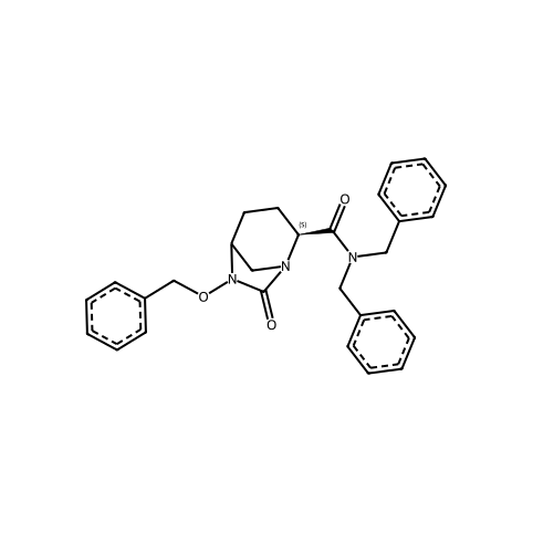 O=C([C@@H]1CCC2CN1C(=O)N2OCc1ccccc1)N(Cc1ccccc1)Cc1ccccc1